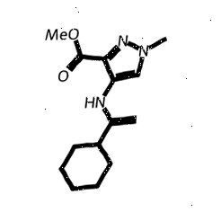 C=C(Nc1cn(C)nc1C(=O)OC)C1CCCCC1